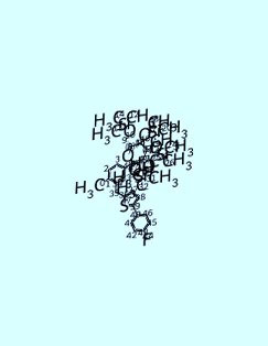 Cc1ccc([C@]2(O)O[C@H](CO[Si](C)(C)C)[C@@H](O[Si](C)(C)C)[C@H](O[Si](C)(C)C)[C@H]2O[Si](C)(C)C)cc1Cc1ccc(-c2ccc(F)cc2)s1